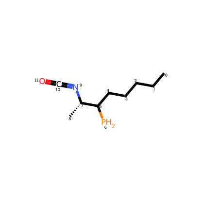 CCCCCC(P)[C@H](C)N=C=O